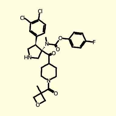 CN(C(=O)Oc1ccc(F)cc1)[C@]1(C(=O)C2CCN(C(=O)C3(C)COC3)CC2)CNC[C@H]1c1ccc(Cl)c(Cl)c1